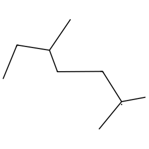 CCC(C)CC[C](C)C